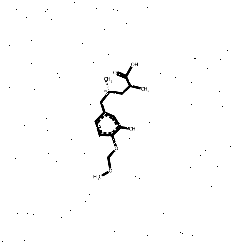 COCOc1ccc(C[C@H](C)CC(C)C(=O)O)cc1C